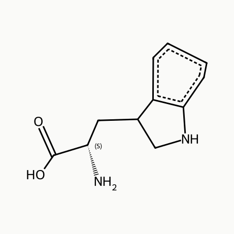 N[C@@H](CC1CNc2ccccc21)C(=O)O